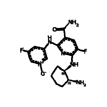 NC(=O)c1cc(F)c(N[C@@H]2CCCC[C@@H]2N)nc1Nc1cc(F)c[n+]([O-])c1